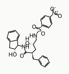 O=C(NC1c2ccccc2C[C@H]1O)[C@H](Cc1ccccc1)C[C@H](O)CNS(=O)(=O)c1ccc([N+](=O)[O-])cc1